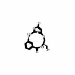 CC(C)C[C@@H]1COc2cc(Cl)nc(n2)NSc2cccc(c2)C(=O)N1